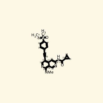 CN=S(C)(=O)c1ccc(C#Cc2cnc(NC)c3cnc(NC(=O)C4CC4)cc23)cc1